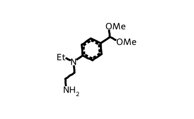 CCN(CCN)c1ccc(C(OC)OC)cc1